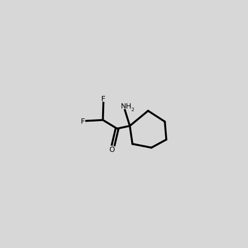 NC1(C(=O)C(F)F)CCCCC1